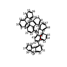 C1=CC2=C(CC1)C1(c3ccccc3-c3ccccc31)c1cccc(N(c3ccc(-c4cccc5sc6ccccc6c45)cc3)c3ccccc3-c3ccccc3)c12